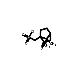 CC1(C)C2CCC1(CS(=O)(=O)Cl)C(=O)C2